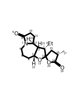 CC[C@H]1[C@H]2[C@@H](CCCN3C(=O)CC[C@@H]23)OC12C[C@H](C)C(=O)O2